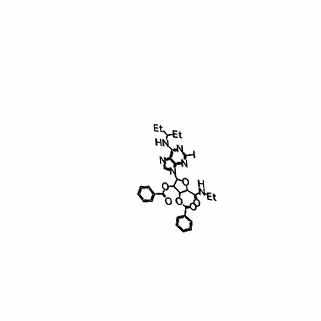 CCNC(=O)C1OC(n2cnc3c(NC(CC)CC)nc(I)nc32)C(OC(=O)c2ccccc2)C1OC(=O)c1ccccc1